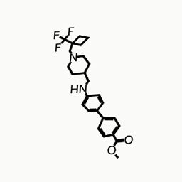 COC(=O)c1ccc(-c2ccc(NCC3CCN(CC4(C(F)(F)F)CCC4)CC3)cc2)cc1